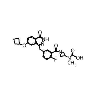 CN(C(=O)O)C1CN(C(=O)c2cc(Cc3n[nH]c(=O)c4ccc(OC5CCC5)cc34)ccc2F)C1